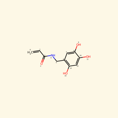 C=CC(=O)NCc1cc(O)c(O)cc1O